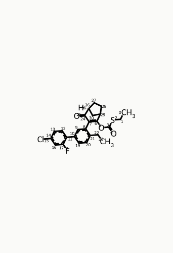 CCSC(=O)OC1=C(c2cc(-c3ccc(Cl)cc3F)ccc2CC)C(=O)[C@H]2CCC1C2